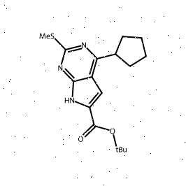 CSc1nc(C2CCCC2)c2cc(C(=O)OC(C)(C)C)[nH]c2n1